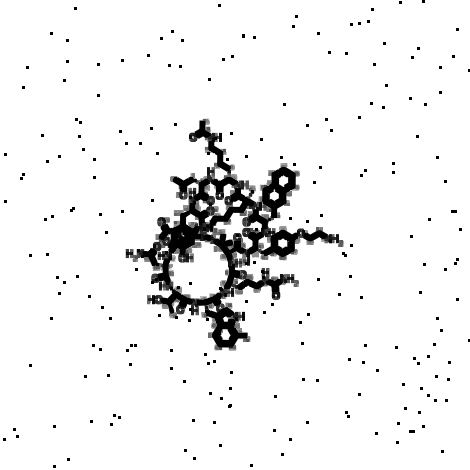 CC(=O)C[C@H](NC(=O)[C@H](CCCCNC(C)=O)NC(=O)[C@](C)(CCCCN)NC(=O)[C@H](Cc1ccc2ccccc2c1)NC(=O)[C@H](Cc1ccc(OCCN)cc1)NC(=O)[C@H]1NC(=O)[C@H](CCCNC(N)=O)NC(=O)[C@H](Cc2c[nH]c3c(C)cccc23)NC(=O)[C@H]([C@@H](C)O)NC(=O)[C@H](CC(N)=O)NC(=O)[C@@H](NC(C)=O)C(C)(C)SSC1(C)C)C(=O)N[C@H](Cc1ccc(O)cc1)C(N)=O